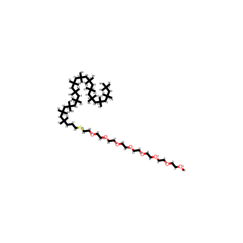 COCCOCCOCCOCCOCCOCCOCCOCCSCCCC(C)(C)CC(C)(C)CC(C)(C)CC(C)(C)CC(C)(C)CC(C)(C)CC(C)(C)CC(C)(C)CC(C)(C)CC(C)(C)CC(C)(C)CC(C)(C)CC(C)(C)C